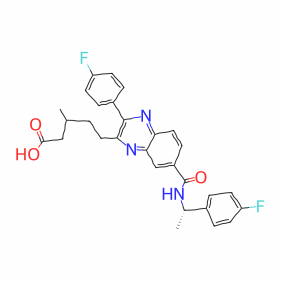 CC(CCc1nc2cc(C(=O)N[C@@H](C)c3ccc(F)cc3)ccc2nc1-c1ccc(F)cc1)CC(=O)O